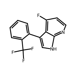 Fc1ccnc2[nH]cc(-c3ccccc3C(F)(F)F)c12